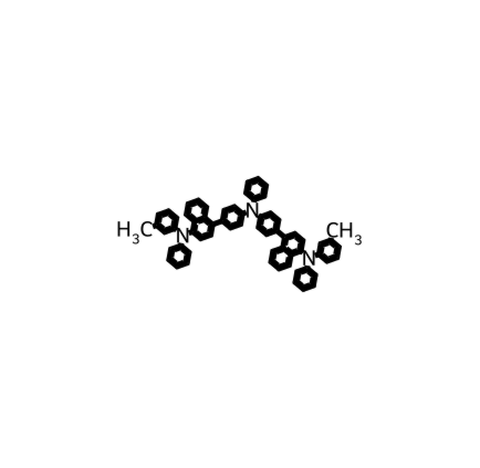 Cc1cccc(N(c2ccccc2)c2ccc(-c3ccc(N(c4ccccc4)c4ccc(-c5ccc(N(c6ccccc6)c6cccc(C)c6)c6ccccc56)cc4)cc3)c3ccccc23)c1